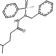 CC(C)CCC(=O)NN(Cc1ccccc1)[P@](C)(=O)c1ccccc1